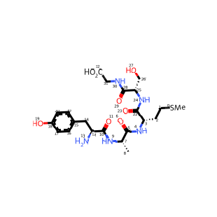 CSCC[C@H](NC(=O)[C@H](C)NC(=O)[C@@H](N)Cc1ccc(O)cc1)C(=O)N[C@@H](CO)C(=O)NCC(=O)O